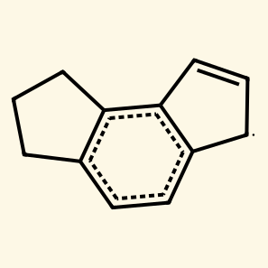 [CH]1C=Cc2c1ccc1c2CCC1